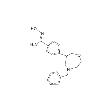 N/C(=N\O)c1ccc(C2COCCN(Cc3ccccc3)C2)cc1